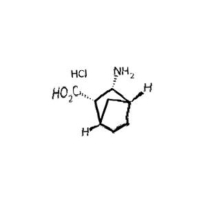 Cl.N[C@@H]1[C@@H]2CC[C@@H](C2)[C@@H]1C(=O)O